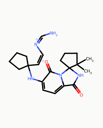 CC1(C)CCCC12NC(=O)c1ccc(NC3(/C=C\N=C/N)CCCC3)c(=O)n12